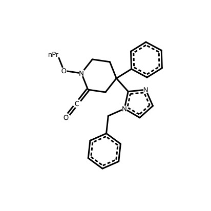 CCCON1CCC(c2ccccc2)(c2nccn2Cc2ccccc2)CC1=C=O